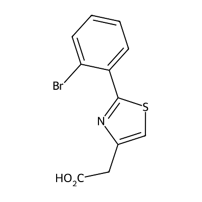 O=C(O)Cc1csc(-c2ccccc2Br)n1